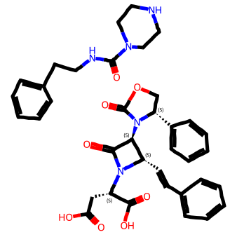 O=C(NCCc1ccccc1)N1CCNCC1.O=C(O)C[C@@H](C(=O)O)N1C(=O)[C@@H](N2C(=O)OC[C@@H]2c2ccccc2)[C@@H]1C=Cc1ccccc1